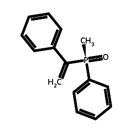 C=C(c1ccccc1)[P@](C)(=O)c1ccccc1